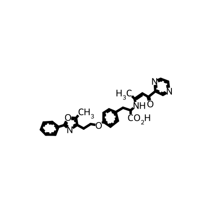 C/C(=C/C(=O)c1cnccn1)NC(Cc1ccc(OCCc2nc(-c3ccccc3)oc2C)cc1)C(=O)O